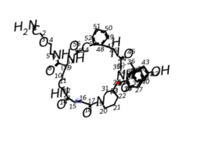 NCCOCCNC(=O)[C@@H]1CCNC(=O)/C=C/C(=O)N2CCC[C@](Cc3ccccc3)(C2)C(=O)N[C@@H](Cc2cccc(O)c2)C(=O)NCc2ccccc2CC(=O)N1